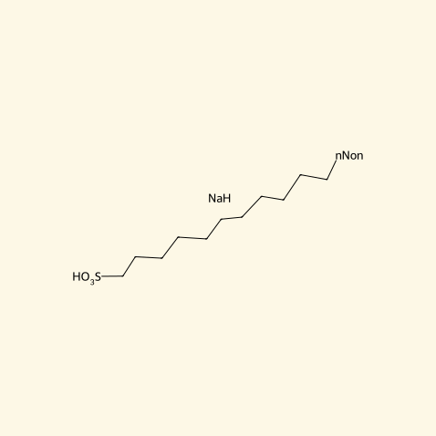 CCCCCCCCCCCCCCCCCCCCS(=O)(=O)O.[NaH]